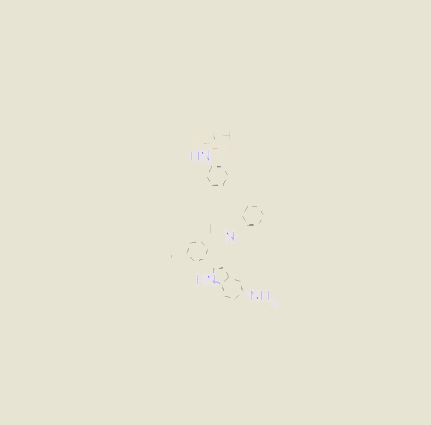 Cc1cc(C)cc(-c2[nH]c3ccc(N)cc3c2CCN(CCCCc2ccc(NS(C)(=O)=O)cc2)Cc2ccccc2)c1